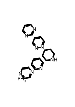 C1CCNCC1.P.c1ccncc1.c1ccnnc1.c1cnccn1.c1cncnc1